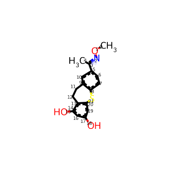 CO/N=C(\C)c1ccc2c(c1)CCc1c(O)cc(O)cc1S2